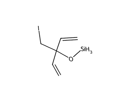 C=CC(C=C)(CI)O[SiH3]